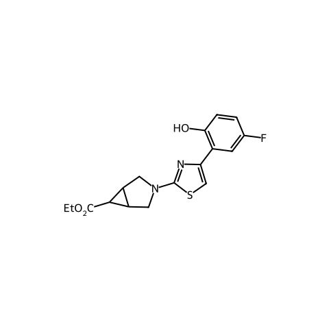 CCOC(=O)C1C2CN(c3nc(-c4cc(F)ccc4O)cs3)CC21